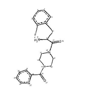 NC(Cc1ccccc1F)C(=O)N1CCN(C(=O)c2ccccn2)CC1